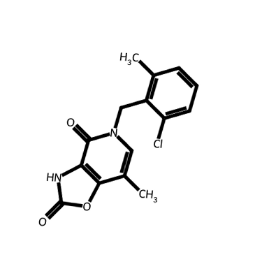 Cc1cccc(Cl)c1Cn1cc(C)c2oc(=O)[nH]c2c1=O